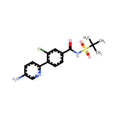 CC(C)(C)S(=O)(=O)NC(=O)c1ccc(-c2ccc(N)cn2)c(Cl)c1